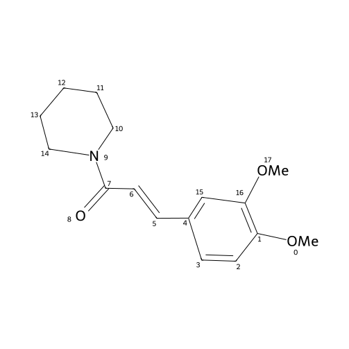 COc1ccc(C=CC(=O)N2CCCCC2)cc1OC